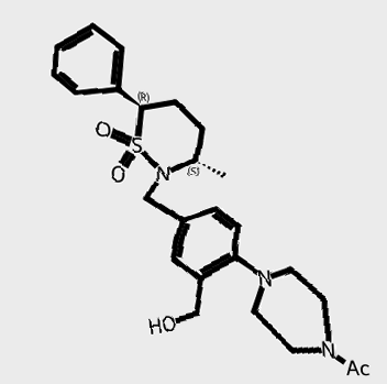 CC(=O)N1CCN(c2ccc(CN3[C@@H](C)CC[C@H](c4ccccc4)S3(=O)=O)cc2CO)CC1